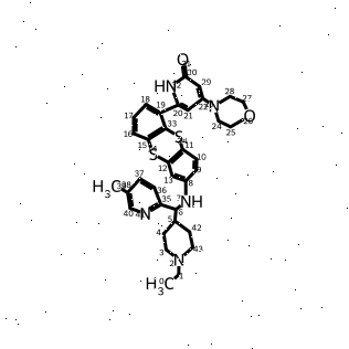 CCN1CCC(C(Nc2ccc3c(c2)Sc2cccc(-c4cc(N5CCOCC5)cc(=O)[nH]4)c2S3)c2ccc(C)cn2)CC1